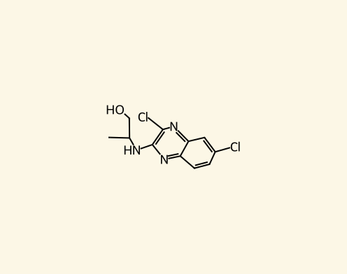 CC(CO)Nc1nc2ccc(Cl)cc2nc1Cl